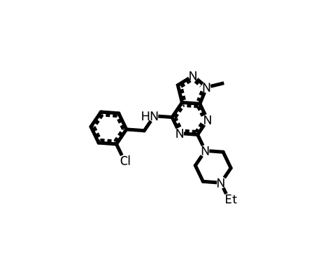 CCN1CCN(c2nc(NCc3ccccc3Cl)c3cnn(C)c3n2)CC1